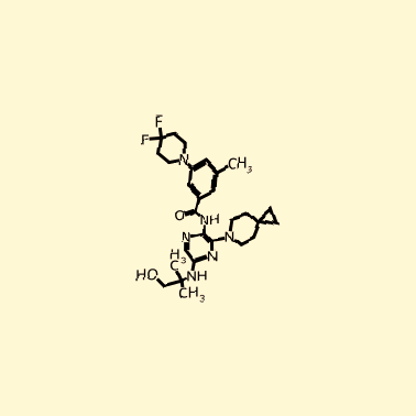 Cc1cc(C(=O)Nc2ncc(NC(C)(C)CO)nc2N2CCC3(CC2)CC3)cc(N2CCC(F)(F)CC2)c1